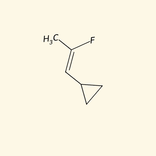 CC(F)=CC1CC1